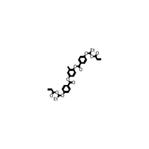 C=CC(=O)OC(CC)Oc1ccc(C(=O)Oc2ccc(OC(=O)c3ccc(OC(CC)OC(=O)C=C)cc3)c(C)c2)cc1